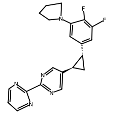 Fc1cc([C@@H]2C[C@H]2c2cnc(-c3ncccn3)nc2)cc(N2CCCC2)c1F